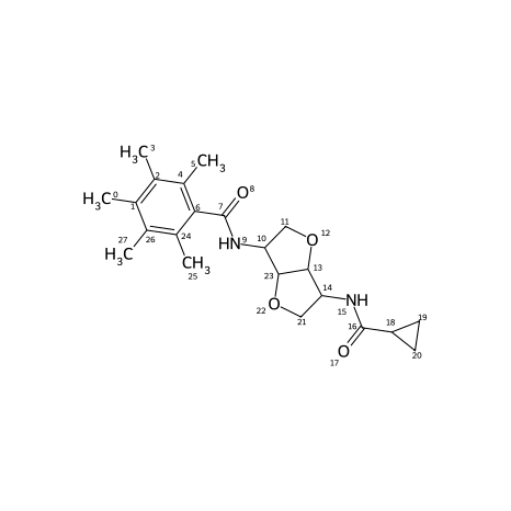 Cc1c(C)c(C)c(C(=O)NC2COC3C(NC(=O)C4CC4)COC23)c(C)c1C